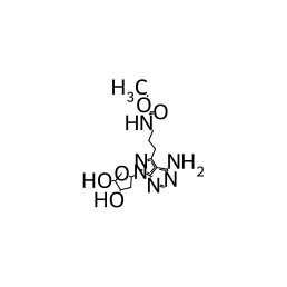 CCOC(=O)NCCCc1nn(C2CC(O)C(O)O2)c2ncnc(N)c12